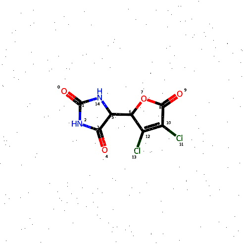 O=C1NC(=O)C(C2OC(=O)C(Cl)=C2Cl)N1